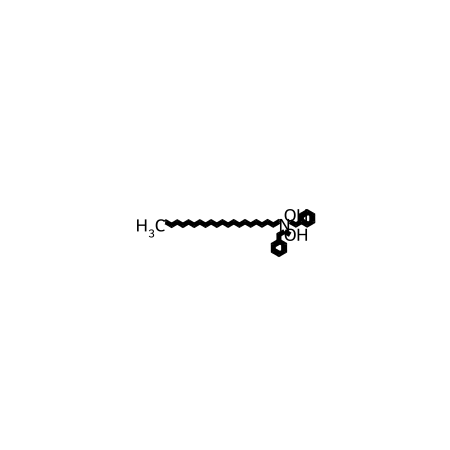 CCCCCCCCCCCCCCCCCCCCCCN(C(O)Cc1ccccc1)C(O)Cc1ccccc1